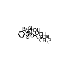 CC(C)(C)CC(=O)ON(C(=O)O)S(=O)(=O)c1ccccc1Br